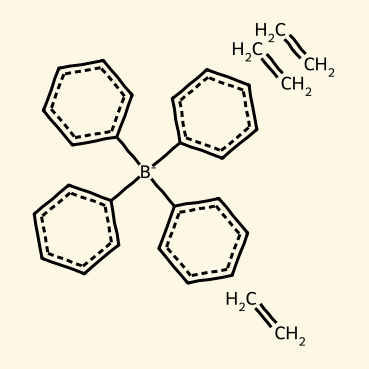 C=C.C=C.C=C.c1ccc([B-](c2ccccc2)(c2ccccc2)c2ccccc2)cc1